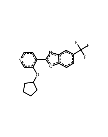 FC(F)(F)c1ccc2oc(-c3ccncc3OC3CCCC3)nc2c1